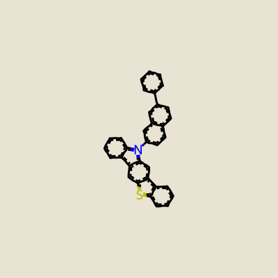 c1ccc(-c2ccc3ccc(-n4c5ccccc5c5cc6sc7ccccc7c6cc54)cc3c2)cc1